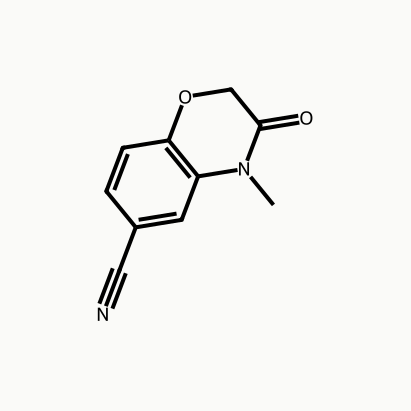 CN1C(=O)COc2ccc(C#N)cc21